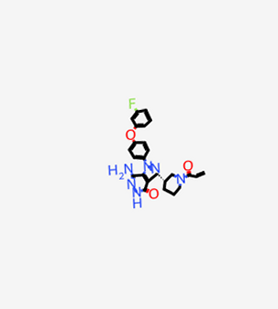 C=CC(=O)N1CCC[C@H](c2nn(-c3ccc(Oc4cccc(F)c4)cc3)c3c(N)n[nH]c(=O)c23)C1